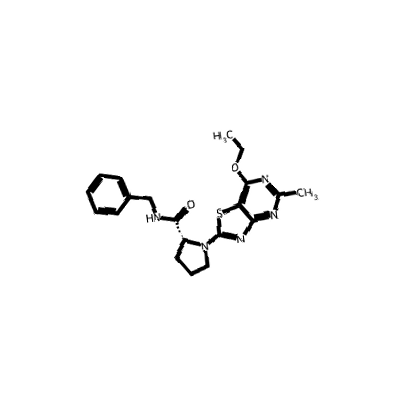 CCOc1nc(C)nc2nc(N3CCC[C@@H]3C(=O)NCc3ccccc3)sc12